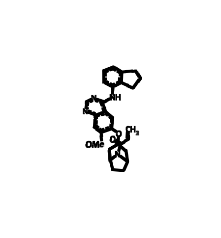 C=CC(=O)N1C2CCC1CC(Oc1cc3c(Nc4cccc5c4CCC5)ncnc3cc1OC)C2